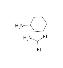 CCC(N)CC.NC1CCCCC1